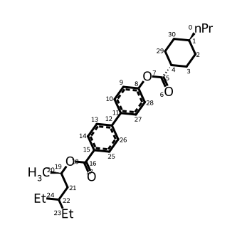 CCC[C@H]1CC[C@H](C(=O)Oc2ccc(-c3ccc(C(=O)O[C@H](C)CC(CC)CC)cc3)cc2)CC1